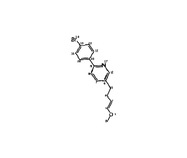 COC=CCCc1ccc(-c2ccc(Br)cc2)nc1